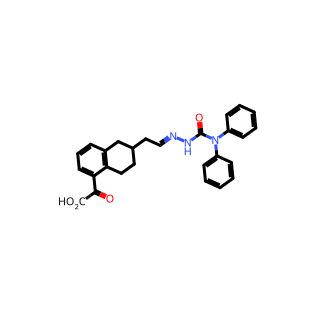 O=C(O)C(=O)c1cccc2c1CCC(CC=NNC(=O)N(c1ccccc1)c1ccccc1)C2